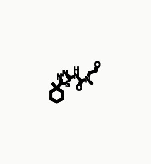 CN(CC=O)C(=O)Nc1nnc(C2(C)CCCCC2)s1